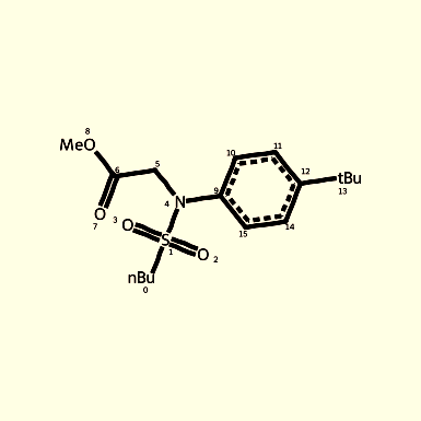 CCCCS(=O)(=O)N(CC(=O)OC)c1ccc(C(C)(C)C)cc1